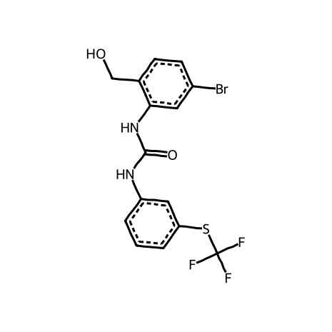 O=C(Nc1cccc(SC(F)(F)F)c1)Nc1cc(Br)ccc1CO